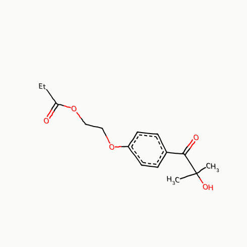 CCC(=O)OCCOc1ccc(C(=O)C(C)(C)O)cc1